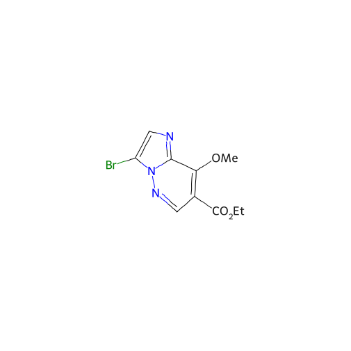 CCOC(=O)c1cnn2c(Br)cnc2c1OC